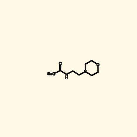 CC(C)COC(=O)NCCN1CCOCC1